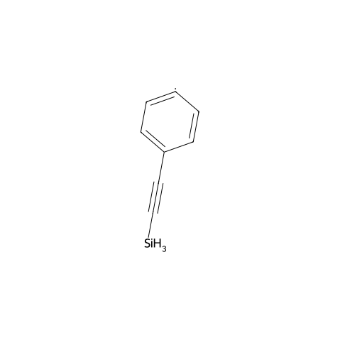 [SiH3]C#Cc1cc[c]cc1